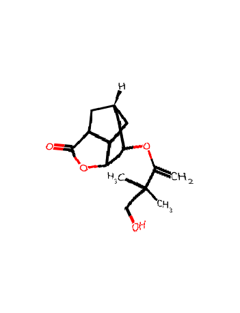 C=C(OC1C2OC(=O)C3C[C@@H]1CC32)C(C)(C)CO